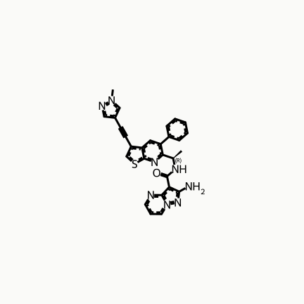 C[C@@H](NC(=O)c1c(N)nn2cccnc12)c1nc2scc(C#Cc3cnn(C)c3)c2cc1-c1ccccc1